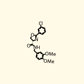 COc1ccc(CNC(=O)[C@@H]2COC(c3cccc(Cl)c3)=N2)cc1OC